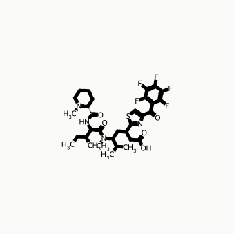 CCC(C)C(NC(=O)[C@H]1CCCCN1C)C(=O)N(C)C(CC(CC(=O)O)c1nc(C(=O)c2c(F)c(F)c(F)c(F)c2F)cs1)C(C)C